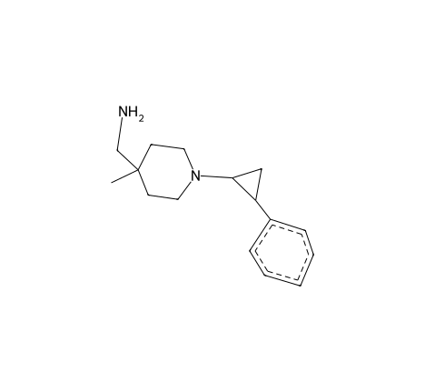 CC1(CN)CCN(C2CC2c2ccccc2)CC1